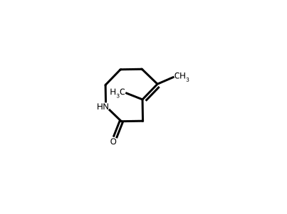 C/C1=C(/C)CC(=O)NCCC1